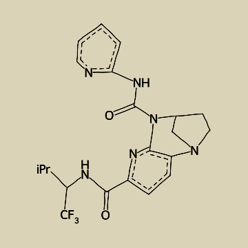 CC(C)C(NC(=O)c1ccc2c(n1)N(C(=O)Nc1ccccn1)C1CCN2C1)C(F)(F)F